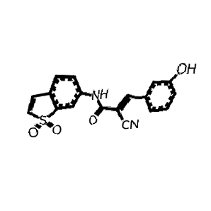 N#CC(=Cc1cccc(O)c1)C(=O)Nc1ccc2c(c1)S(=O)(=O)C=C2